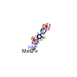 CCS(=O)(=O)N1CCN(c2ccc(N3C[C@H](CNC(=S)OC)OC3=O)cc2F)CC1